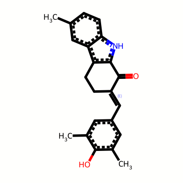 Cc1ccc2[nH]c3c(c2c1)CC/C(=C\c1cc(C)c(O)c(C)c1)C3=O